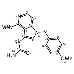 CNc1ncnc2c1c([Se]C(N)=O)cn2Cc1ccc(OC)cc1